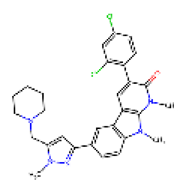 Cn1nc(-c2ccc3c(c2)c2cc(-c4ccc(Cl)cc4Cl)c(=O)n(C)c2n3C)cc1CN1CCCCC1